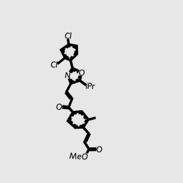 COC(=O)/C=C/c1ccc(C(=O)/C=C/c2nc(-c3ccc(Cl)cc3Cl)oc2C(C)C)cc1C